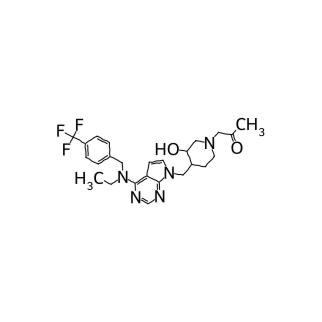 CCN(Cc1ccc(C(F)(F)F)cc1)c1ncnc2c1ccn2CC1CCN(CC(C)=O)CC1O